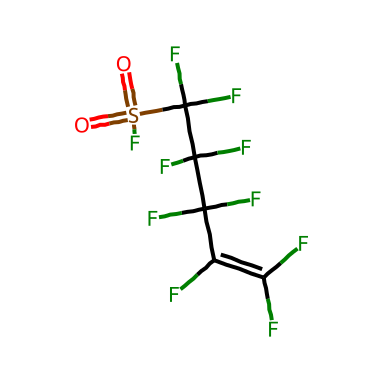 O=S(=O)(F)C(F)(F)C(F)(F)C(F)(F)C(F)=C(F)F